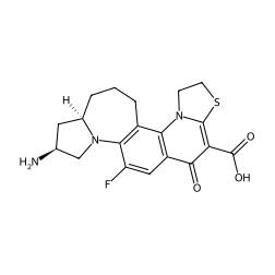 N[C@H]1C[C@H]2CCCc3c(c(F)cc4c(=O)c(C(=O)O)c5n(c34)CCS5)N2C1